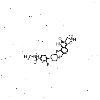 [2H]C1([2H])Cc2c(c3ccc(CN4CCN(c5ccc(C(=O)NC)nc5F)CC4)c(F)c3[nH]c2=O)O1